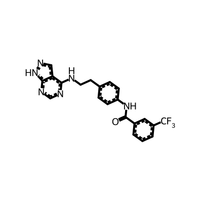 O=C(Nc1ccc(CCNc2ncnc3[nH]ncc23)cc1)c1cccc(C(F)(F)F)c1